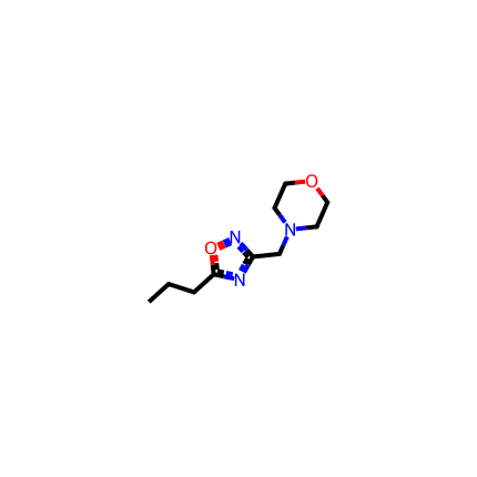 CCCc1nc(CN2CCOCC2)no1